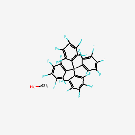 CO.Fc1c(F)c(F)c([B-](c2c(F)c(F)c(F)c(F)c2F)(c2c(F)c(F)c(F)c(F)c2F)c2c(F)c(F)c(F)c(F)c2F)c(F)c1F